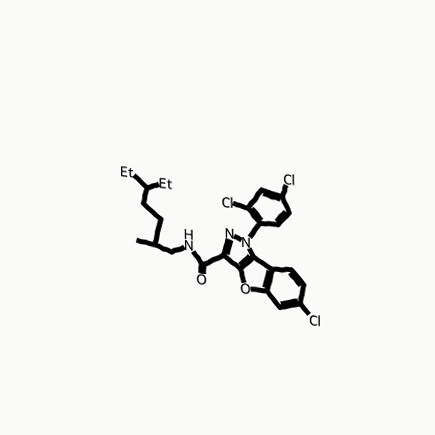 CCC(CC)CCC(C)CNC(=O)c1nn(-c2ccc(Cl)cc2Cl)c2c1oc1cc(Cl)ccc12